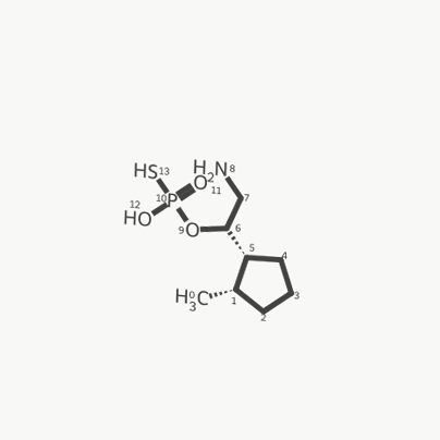 C[C@H]1CCC[C@H]1C(CN)OP(=O)(O)S